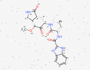 CC(C)C[C@H](NC(=O)c1nc2ccccc2[nH]1)C(=O)N[C@@H](C[C@@H]1CCNC1=O)C(=O)COC(F)(F)F